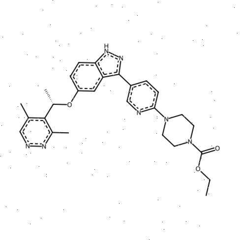 CCOC(=O)N1CCN(c2ccc(-c3n[nH]c4ccc(O[C@@H](C)c5c(C)cnnc5C)cc34)cn2)CC1